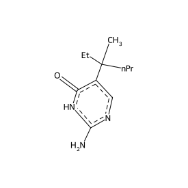 CCCC(C)(CC)c1cnc(N)[nH]c1=O